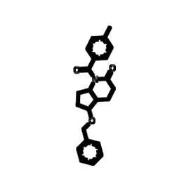 Cc1ccc(C(=O)N2C(=O)CCC3C(OCc4ccccc4)CCC32)cc1